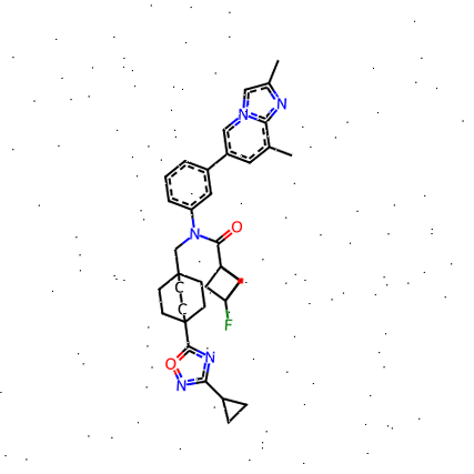 Cc1cn2cc(-c3cccc(N(CC45CCC(c6nc(C7CC7)no6)(CC4)CC5)C(=O)C45CC(F)(C4)C5)c3)cc(C)c2n1